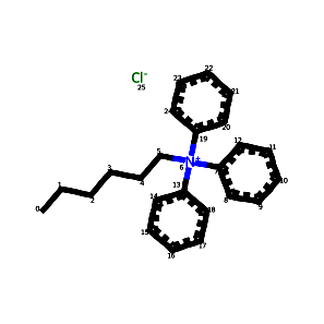 CCCCCC[N+](c1ccccc1)(c1ccccc1)c1ccccc1.[Cl-]